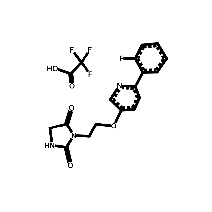 O=C(O)C(F)(F)F.O=C1CNC(=O)N1CCOc1ccc(-c2ccccc2F)nc1